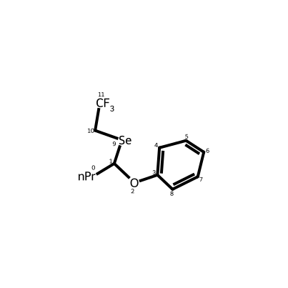 CCCC(Oc1ccccc1)[Se]CC(F)(F)F